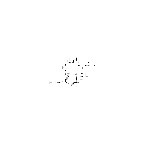 CN(C1=C([SiH3])C=CC1)C(C)(C)C.[CH3][Zr]([CH3])[CH3]